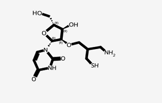 NCC(CS)CO[C@@H]1[C@H](O)[C@@H](CO)O[C@H]1n1ccc(=O)[nH]c1=O